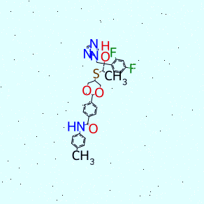 Cc1ccc(NC(=O)c2ccc(C3OCC(S[C@H](C)[C@](O)(Cn4cncn4)c4ccc(F)cc4F)CO3)cc2)cc1